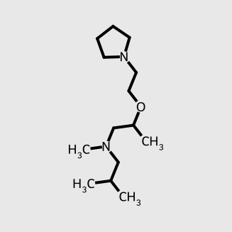 CC(C)CN(C)CC(C)OCCN1CCCC1